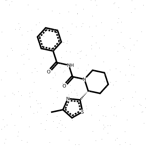 Cc1csc([C@H]2CCCCN2C(=O)NC(=O)c2ccccc2)n1